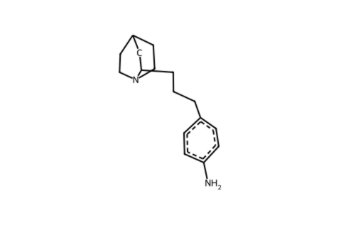 Nc1ccc(CCCC2CC3CCN2CC3)cc1